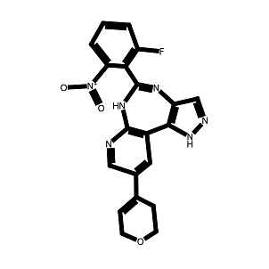 O=[N+]([O-])c1cccc(F)c1C1=Nc2cn[nH]c2-c2cc(C3=CCOCC3)cnc2N1